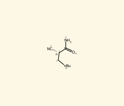 CCCCC[C@H](C#N)C(N)=O